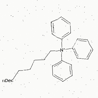 CCCCCCCCCCCCCCC[N+](c1ccccc1)(c1ccccc1)c1ccccc1